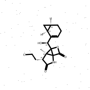 C[C@@]12[C@@H](CCCl)C(=O)NC13C(=O)OC32[C@@H](O)C1=CCC[C@@H]2C[C@H]12